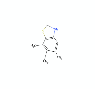 Cc1cc2c(c(C)c1C)SCN2